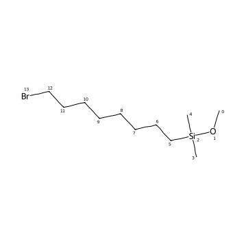 CO[Si](C)(C)CCCCCCCCBr